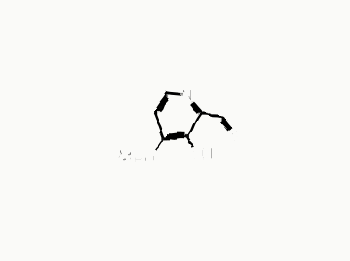 COc1ccnc(C=S)c1C